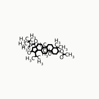 CC(=O)O[C@H]1CC[C@@]2(C)C(CC[C@]3(C)C2CCC2C4=C(C(C)C)C(=O)C[C@]4(C(=O)N(C)C(C)(C)C)CC[C@]23C)C1(C)C